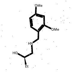 CC[C@@H](O)CNCc1ccc(OC)cc1OC